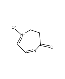 O=C1CC[N+]([O-])=CC=N1